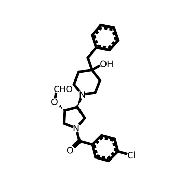 O=CO[C@H]1CN(C(=O)c2ccc(Cl)cc2)C[C@@H]1N1CCC(O)(Cc2ccccc2)CC1